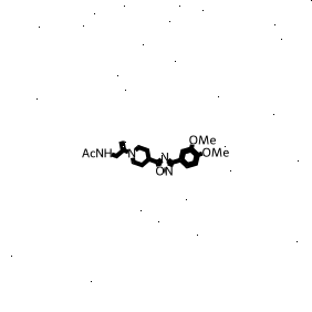 C=C(CNC(C)=O)N1CCC(c2nc(-c3ccc(OC)c(OC)c3)no2)CC1